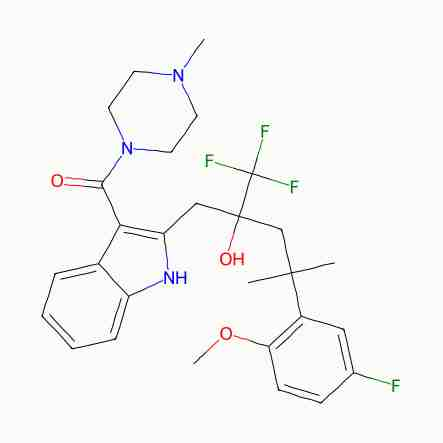 COc1ccc(F)cc1C(C)(C)CC(O)(Cc1[nH]c2ccccc2c1C(=O)N1CCN(C)CC1)C(F)(F)F